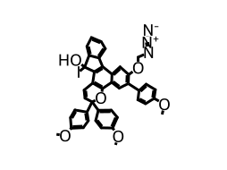 COc1ccc(-c2cc3c4c(c5c(c3cc2OCN=[N+]=[N-])-c2ccccc2C5(O)I)C=CC(c2ccc(OC)cc2)(c2ccc(OC)cc2)O4)cc1